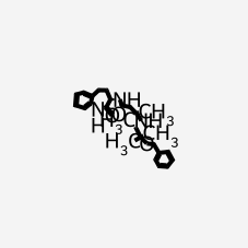 CC(C)(CC(=O)N[C@@H]1CCc2ccccc2NC1=O)NCC(C)(C)OCc1ccccc1